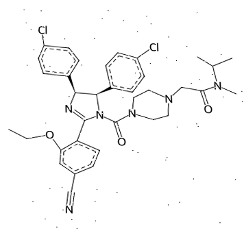 CCOc1cc(C#N)ccc1C1=N[C@@H](c2ccc(Cl)cc2)[C@@H](c2ccc(Cl)cc2)N1C(=O)N1CCN(CC(=O)N(C)C(C)C)CC1